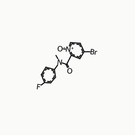 CN(C(=O)c1cc(Br)cc[n+]1[O-])c1ccc(F)cc1